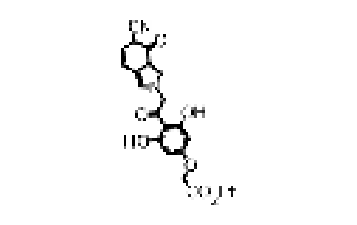 CCOC(=O)COc1cc(O)c(C(=O)CN2C=C3C=CC(C#N)C(=O)C3C2)c(O)c1